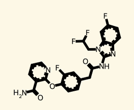 NC(=O)c1cccnc1Oc1ccc(CC(=O)Nc2nc3ccc(F)cc3n2CC(F)F)cc1F